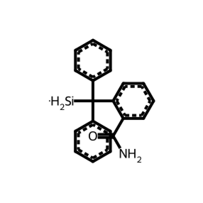 NC(=O)c1ccccc1C([SiH2])(c1ccccc1)c1ccccc1